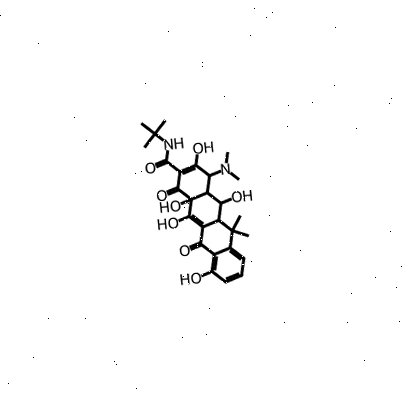 CN(C)C1C(O)=C(C(=O)NC(C)(C)C)C(=O)C2(O)C(O)=C3C(=O)c4c(O)cccc4C(C)(C)C3C(O)C12